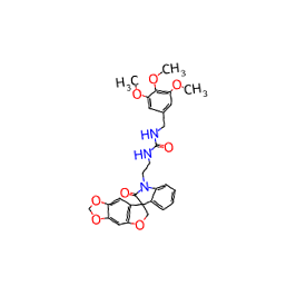 COc1cc(CNC(=O)NCCN2C(=O)C3(COc4cc5c(cc43)OCO5)c3ccccc32)cc(OC)c1OC